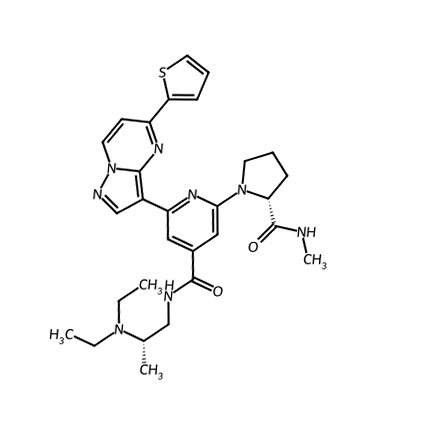 CCN(CC)[C@@H](C)CNC(=O)c1cc(-c2cnn3ccc(-c4cccs4)nc23)nc(N2CCC[C@@H]2C(=O)NC)c1